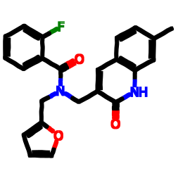 Cc1ccc2cc(CN(Cc3ccco3)C(=O)c3ccccc3F)c(=O)[nH]c2c1